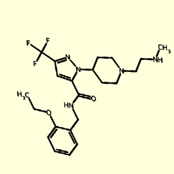 CCOc1ccccc1CNC(=O)c1cc(C(F)(F)F)nn1C1CCN(CCNC)CC1